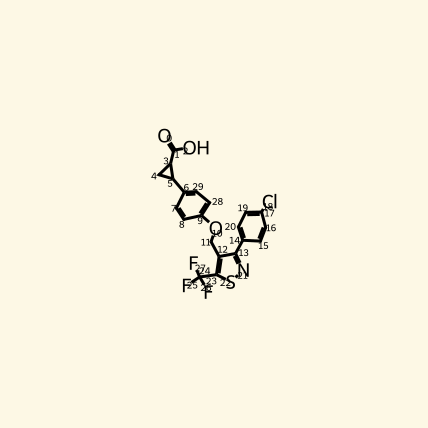 O=C(O)C1CC1c1ccc(OCc2c(-c3ccc(Cl)cc3)nsc2C(F)(F)F)cc1